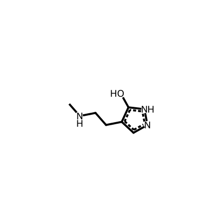 CNCCc1cn[nH]c1O